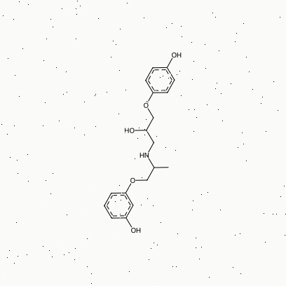 CC(COc1cccc(O)c1)NCC(O)COc1ccc(O)cc1